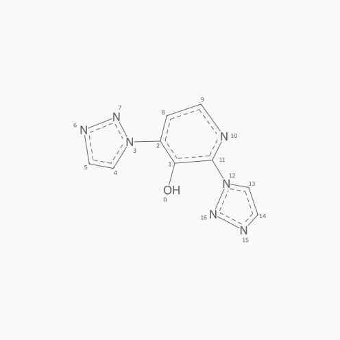 Oc1c(-n2ccnn2)ccnc1-n1ccnn1